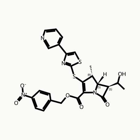 CC(O)[C@H]1C(=O)N2C(C(=O)OCc3ccc([N+](=O)[O-])cc3)=C(Sc3nc(-c4cccnc4)cs3)[C@H](C)[C@H]12